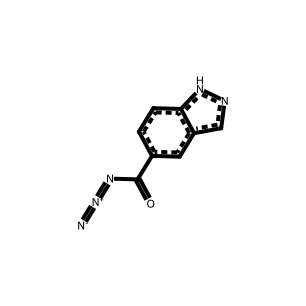 [N-]=[N+]=NC(=O)c1ccc2[nH]ncc2c1